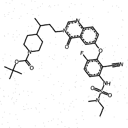 CCN(C)S(=O)(=O)Nc1ccc(F)c(Oc2ccc3ncn(CCC(C)C4CCN(C(=O)OC(C)(C)C)CC4)c(=O)c3c2)c1C#N